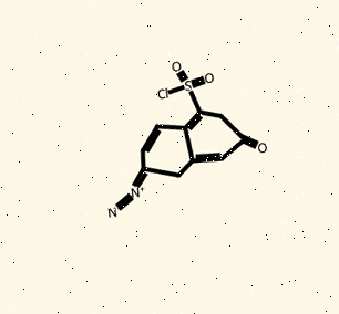 [N-]=[N+]=C1C=CC2=C(S(=O)(=O)Cl)CC(=O)C=C2C1